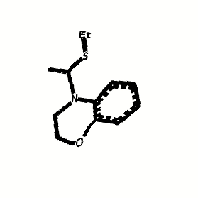 CCSC(C)N1CCOc2ccccc21